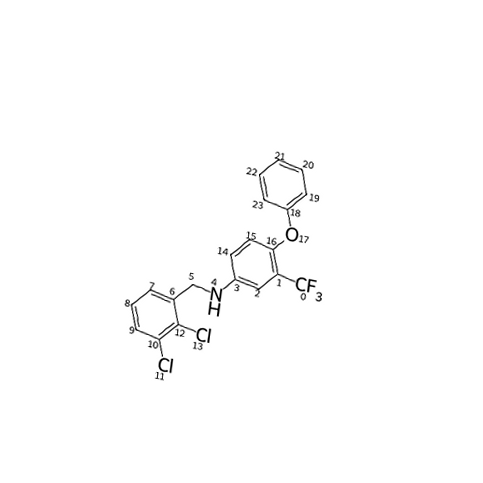 FC(F)(F)c1cc(NCc2cccc(Cl)c2Cl)ccc1Oc1ccccc1